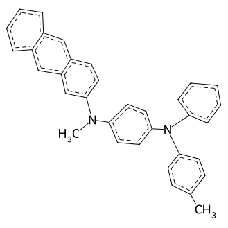 Cc1ccc(N(c2ccccc2)c2ccc(N(C)c3ccc4cc5ccccc5cc4c3)cc2)cc1